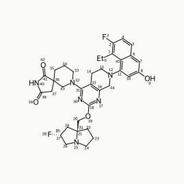 CCc1c(F)ccc2cc(O)cc(N3CCc4c(nc(OC[C@@]56CCCN5C[C@H](F)C6)nc4N4CCCC5(CC(=O)NC5=O)C4)C3)c12